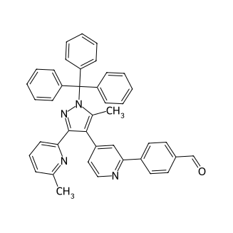 Cc1cccc(-c2nn(C(c3ccccc3)(c3ccccc3)c3ccccc3)c(C)c2-c2ccnc(-c3ccc(C=O)cc3)c2)n1